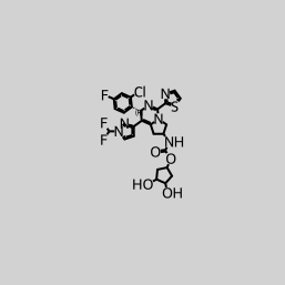 O=C(NC1CC2=C(c3ccn(C(F)F)n3)[C@H](c3ccc(F)cc3Cl)N=C(c3nccs3)N2C1)OC1CC(O)C(O)C1